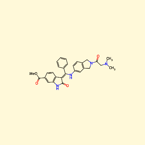 COC(=O)c1ccc2c(c1)NC(=O)/C2=C(\Nc1ccc2c(c1)CN(C(=O)CN(C)C)C2)c1ccccc1